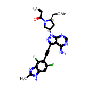 C=CC(=O)N1C[C@@H](n2nc(C#Cc3c(F)cc4[nH]c(C)nc4c3F)c3c(N)ncnc32)C[C@@H]1COC